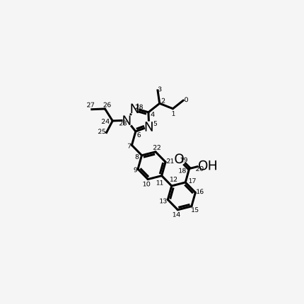 CCC(C)c1nc(Cc2ccc(-c3ccccc3C(=O)O)cc2)n(C(C)CC)n1